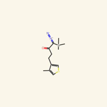 Cc1cscc1CCC(=O)C(=[N+]=[N-])[Si](C)(C)C